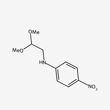 COC(CNc1ccc([N+](=O)[O-])cc1)OC